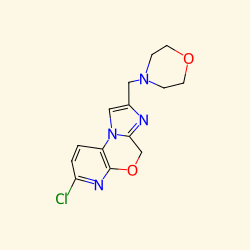 Clc1ccc2c(n1)OCc1nc(CN3CCOCC3)cn1-2